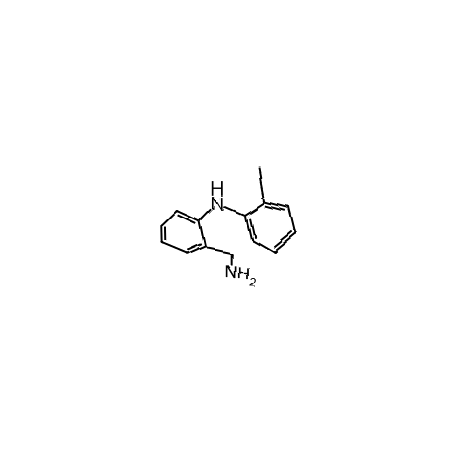 Cc1ccccc1Nc1ccccc1CN